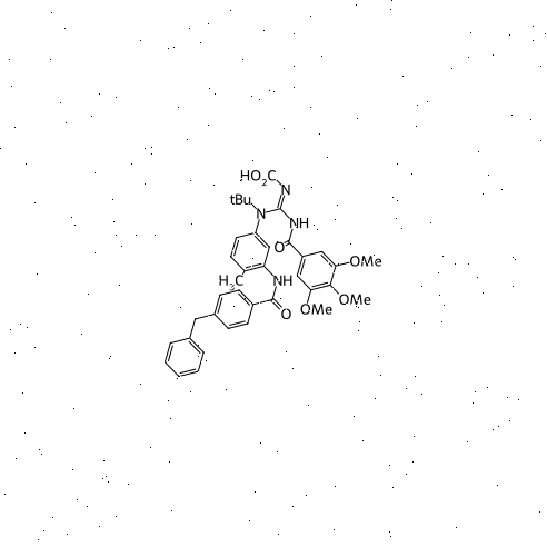 COc1cc(C(=O)NC(=NC(=O)O)N(c2ccc(C)c(NC(=O)c3ccc(Cc4ccccc4)cc3)c2)C(C)(C)C)cc(OC)c1OC